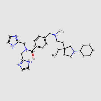 CCC1(CCN(C)Cc2ccc(C(=O)N(Cc3ncc[nH]3)Cc3ncc[nH]3)cc2)CCN(C2CCCCC2)C1